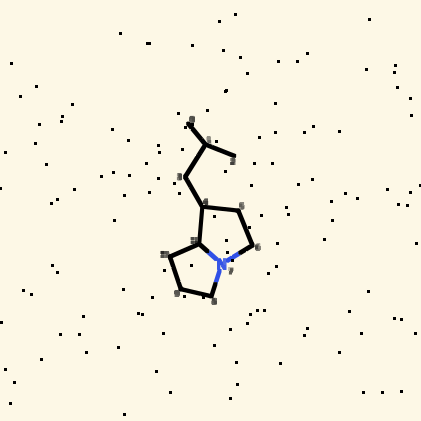 CC(C)CC1CCN2CCCC12